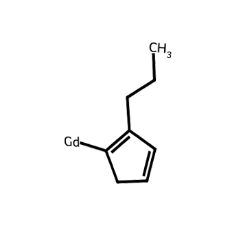 CCCC1=[C]([Gd])CC=C1